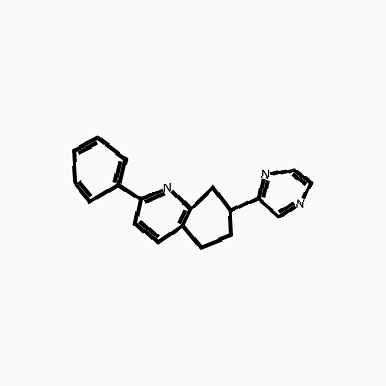 c1ccc(-c2ccc3c(n2)CC(c2cnccn2)CC3)cc1